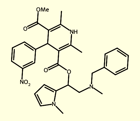 COC(=O)C1=C(C)NC(C)=C(C(=O)OC(CN(C)Cc2ccccc2)c2cccn2C)C1c1cccc([N+](=O)[O-])c1